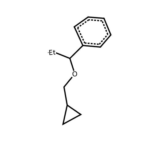 C[CH]C(OCC1CC1)c1ccccc1